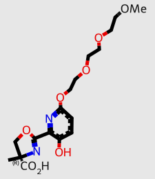 COCCOCCOCCOc1ccc(O)c(C2=N[C@@](C)(C(=O)O)CO2)n1